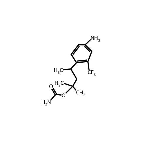 CC(CC(C)(C)OC(N)=O)c1ccc(N)cc1C(F)(F)F